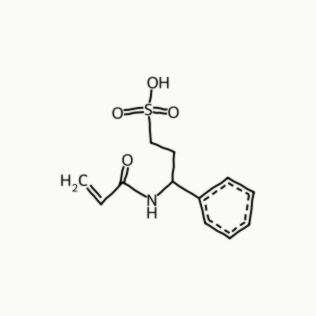 C=CC(=O)NC(CCS(=O)(=O)O)c1ccccc1